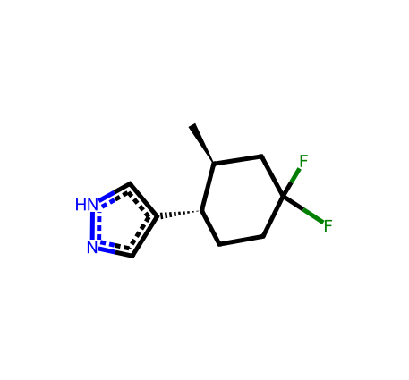 C[C@H]1CC(F)(F)CC[C@@H]1c1cn[nH]c1